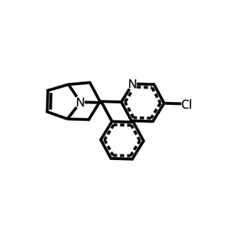 Clc1ccc(C2CC3C=CC(C2)N3Cc2ccccc2)nc1